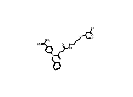 C=CC(CC(=O)O)NCCCCNC(=O)CCC(=O)N(Cc1ccccc1)c1ccc(C(=N)N)cc1